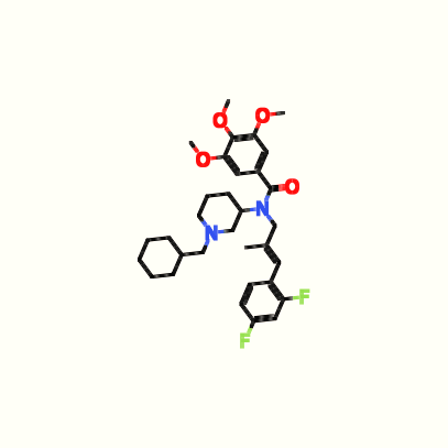 COc1cc(C(=O)N(C/C(C)=C/c2ccc(F)cc2F)C2CCCN(CC3CCCCC3)C2)cc(OC)c1OC